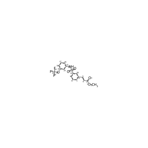 COC(=O)/C=C/c1cccc(S(=O)(=O)Nc2cccc(OC(F)(F)F)c2)c1